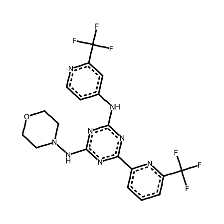 FC(F)(F)c1cc(Nc2nc(NN3CCOCC3)nc(-c3cccc(C(F)(F)F)n3)n2)ccn1